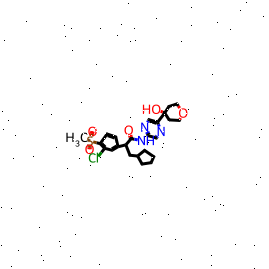 CS(=O)(=O)c1ccc(C(CC2CCCC2)C(=O)Nc2cnc(C3(O)CCOCC3)cn2)cc1Cl